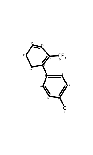 FC(F)(F)C1=C(c2ccc(Cl)cc2)[CH]CC=C1